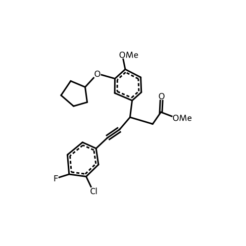 COC(=O)CC(C#Cc1ccc(F)c(Cl)c1)c1ccc(OC)c(OC2CCCC2)c1